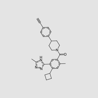 C#Cc1ccc(C2CCN(C(=O)c3cc(-c4nnc(C)[nH]4)c(C4CCC4)cc3C)CC2)cc1